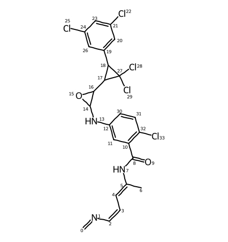 C=N/C=C\C=C(/C)NC(=O)c1cc(NC2OC2C2C(c3cc(Cl)cc(Cl)c3)C2(Cl)Cl)ccc1Cl